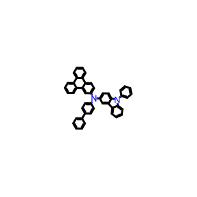 c1ccc(-c2ccc(N(c3ccc4c5ccccc5c5ccccc5c4c3)c3ccc4c(c3)c3ccccc3n4-c3ccccc3)cc2)cc1